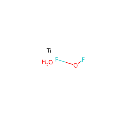 FOF.O.[Ti]